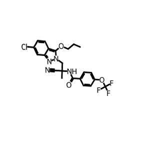 CCCOc1c2ccc(Cl)cc2nn1CC(C)(C#N)NC(=O)c1ccc(OC(F)(F)F)cc1